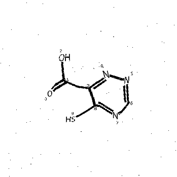 O=C(O)c1nncnc1S